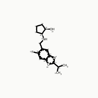 CC(C)c1nc2cc(CN[C@H]3CCC[C@H]3O)c(F)cc2o1